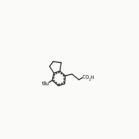 CC(C)(C)c1ccc(CCC(=O)O)c2c1CCC2